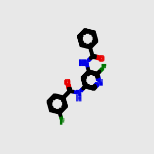 O=C(Nc1cnc(F)c(NC(=O)c2ccccc2)c1)c1cccc(F)c1